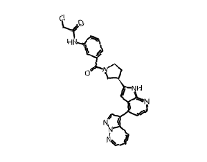 O=C(CCl)Nc1cccc(C(=O)N2CC[C@@H](c3cc4c(-c5cnn6ncccc56)ccnc4[nH]3)C2)c1